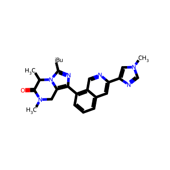 CCC(C)c1nc(-c2cccc3cc(-c4cn(C)cn4)ncc23)c2n1C(C)C(=O)N(C)C2